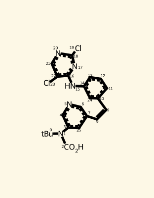 CC(C)(C)N(C(=O)O)c1cncc(/C=C\c2cccc(Nc3nc(Cl)ncc3Cl)c2)c1